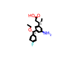 CCO[C@@H](c1ccc(F)cc1)c1cc(N)cc([C@@H](CC)CC(=O)O)c1